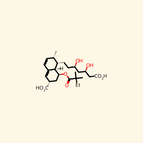 CCC(C)(C)C(=O)O[C@H]1C[C@H](C(=O)O)C=C2C=C[C@H](C)[C@H](CC[C@@H](O)C[C@@H](O)CC(=O)O)[C@H]21